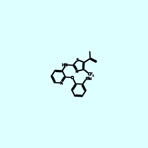 C=C(C)c1sc(Nc2cccnc2Oc2ccccc2C(C)(C)C)nc1C(F)(F)F